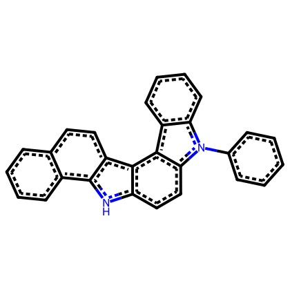 c1ccc(-n2c3ccccc3c3c4c(ccc32)[nH]c2c3ccccc3ccc24)cc1